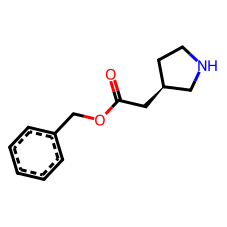 O=C(C[C@H]1CCNC1)OCc1ccccc1